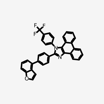 FC(F)(F)c1ccc(-n2c(-c3ccc(-c4cccc5occc45)cc3)nc3c4ccccc4c4ccccc4c32)cc1